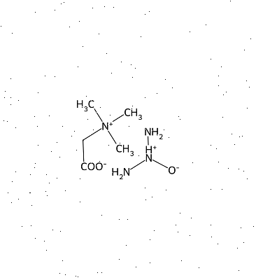 C[N+](C)(C)CC(=O)[O-].N[NH+](N)[O-]